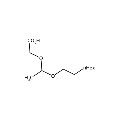 CCCCCCCCOC(C)OCC(=O)O